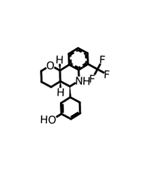 OC1=CC([C@@H]2Nc3c(cccc3C(F)(F)F)[C@H]3OCCC[C@H]32)CC=C1